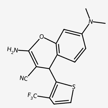 CN(C)c1ccc2c(c1)OC(N)=C(C#N)C2c1sccc1C(F)(F)F